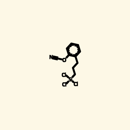 N#COc1ccccc1CCC[Si](Cl)(Cl)Cl